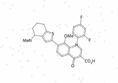 CNC1CCCc2sc(-c3ccc4c(=O)c(C(=O)O)cn(-c5ccc(F)cc5F)c4c3OC)cc21